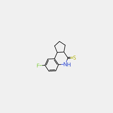 Fc1ccc2c(c1)C1CCCC1C(=S)N2